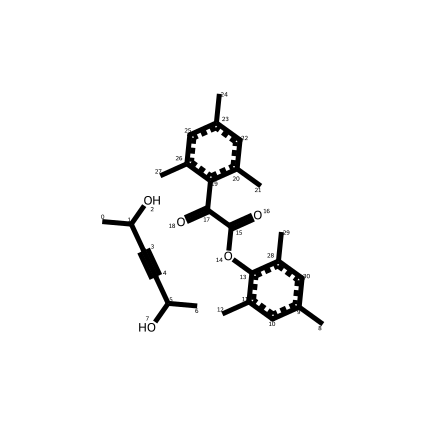 CC(O)C#CC(C)O.Cc1cc(C)c(OC(=O)C(=O)c2c(C)cc(C)cc2C)c(C)c1